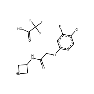 O=C(COc1ccc(Cl)c(F)c1)NC1CNC1.O=C(O)C(F)(F)F